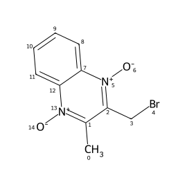 Cc1c(CBr)[n+]([O-])c2ccccc2[n+]1[O-]